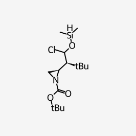 C[SiH](C)OC(Cl)[C@H]([C@@H]1CN1C(=O)OC(C)(C)C)C(C)(C)C